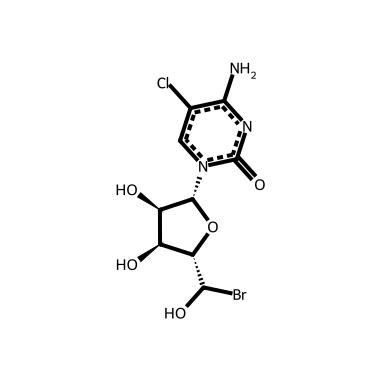 Nc1nc(=O)n([C@@H]2O[C@H](C(O)Br)[C@@H](O)[C@H]2O)cc1Cl